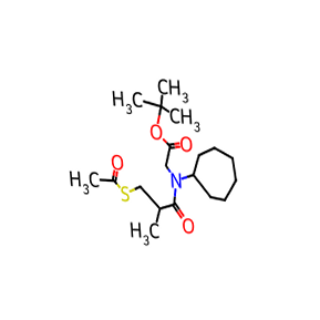 CC(=O)SCC(C)C(=O)N(CC(=O)OC(C)(C)C)C1CCCCCC1